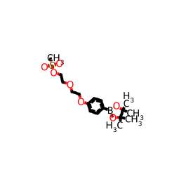 CC1(C)OB(c2ccc(OCCOCCOS(C)(=O)=O)cc2)OC1(C)C